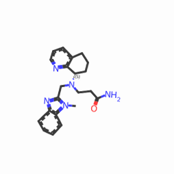 Cn1c(CN(CCC(N)=O)[C@H]2CCCc3cccnc32)nc2ccccc21